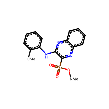 CNOS(=O)(=O)c1nc2ccccc2nc1Nc1ccccc1OC